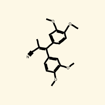 COc1ccc(C(=C(C)C#N)c2ccc(OC)c(OC)c2)cc1OC